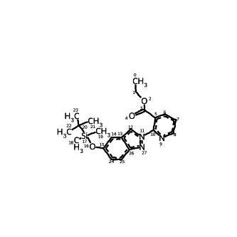 CCOC(=O)c1cccnc1-n1cc2cc(O[Si](C)(C)C(C)(C)C)ccc2n1